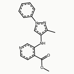 COC(=O)c1ccncc1Nc1cn(-c2ccccc2)nc1C